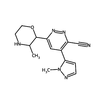 CC1NCCOC1c1cc(-c2ccnn2C)c(C#N)nn1